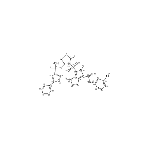 CC1CCC(CC(C)(O)c2cc(-c3ccccc3)on2)N1S(=O)(=O)c1c2c(ccn2C)c(C(=O)Nc2ccnc(Cl)c2)n1C